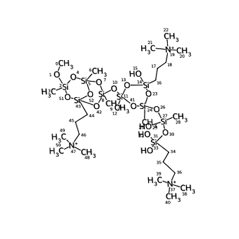 CO[Si]1(C)O[Si]2(C)O[Si](C)(O[Si]3(C)O[Si](O)(CCC[N+](C)(C)C)O[Si](C)(O[Si](C)(O)O[Si](O)(O)CCC[N+](C)(C)C)O3)O[Si](CCC[N+](C)(C)C)(O1)O2